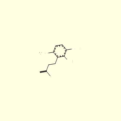 C=C(C)CCc1c(OC)ccc(C(=O)O)c1O